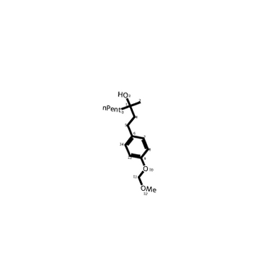 CCCCCC(C)(O)CCc1ccc(OCOC)cc1